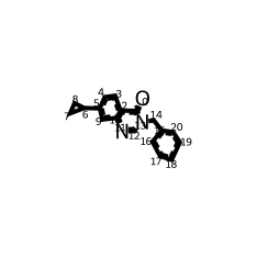 O=c1c2ccc(C3CC3)cc2ncn1Cc1ccccc1